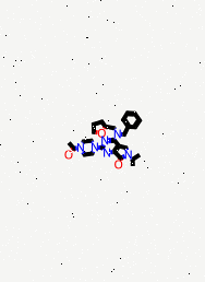 CC(=O)N1CCN(c2nc3c(c(N(Cc4ccccc4)CC4CCCO4)n2)CN(C(C)C)C3=O)CC1